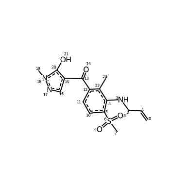 C=CCNc1c(S(C)(=O)=O)ccc(C(=O)c2cnn(C)c2O)c1C